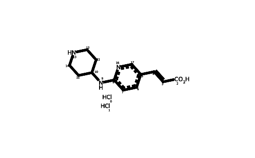 Cl.Cl.O=C(O)/C=C/c1ccc(NC2CCNCC2)nc1